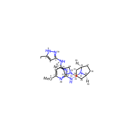 COc1cc(Nc2cc(C)[nH]n2)nc(N[C@@H]2C[C@H]3CC[C@@H](C2)N3SN2CC(C#N)C2)n1